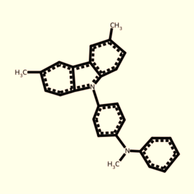 Cc1ccc2c(c1)c1cc(C)ccc1n2-c1ccc(N(C)c2ccccc2)cc1